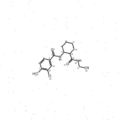 Cc1ccc(C(=O)NC2CCCCC2C(=O)NCC#N)cc1Cl